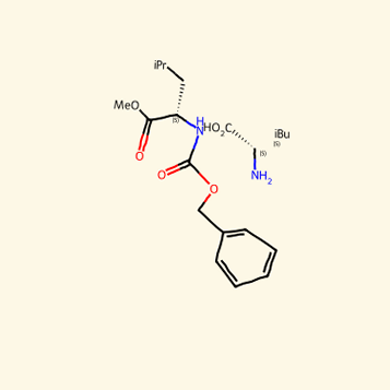 CC[C@H](C)[C@H](N)C(=O)O.COC(=O)[C@H](CC(C)C)NC(=O)OCc1ccccc1